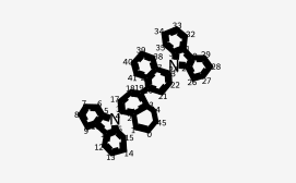 C1=Cc2c(-n3c4ccccc4c4ccccc43)ccc(-c3ccc(-n4c5ccccc5c5ccccc54)c4ccccc34)c2CC1